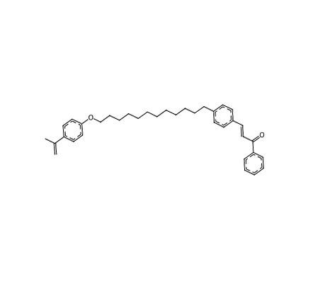 C=C(C)c1ccc(OCCCCCCCCCCCCc2ccc(C=CC(=O)c3ccccc3)cc2)cc1